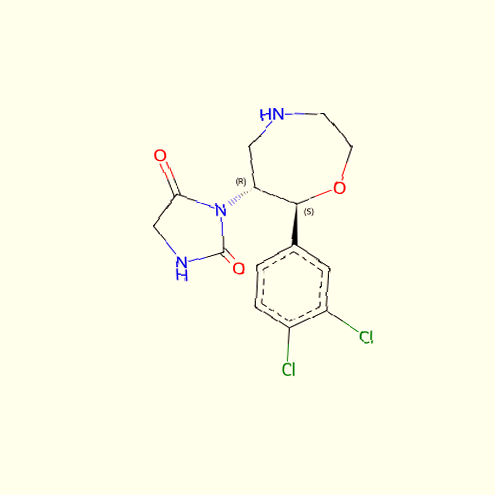 O=C1CNC(=O)N1[C@@H]1CNCCO[C@H]1c1ccc(Cl)c(Cl)c1